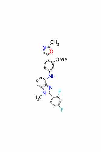 COc1cc(Nc2cccc3c2nc(-c2ccc(F)cc2F)n3C)ccc1-c1cnc(C)o1